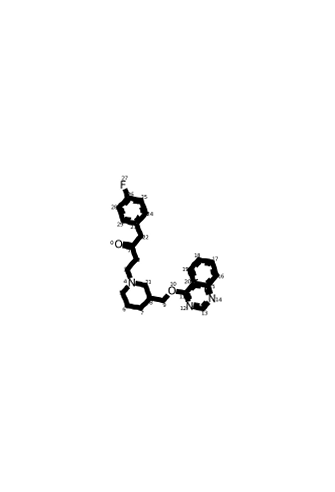 O=C(CCN1CCCC(COc2ncnc3ccccc23)C1)Cc1ccc(F)cc1